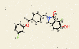 CC(Oc1cccc(F)c1)C1CCC(CN2Cc3ccc(O)c(F)c3C2=O)CC1